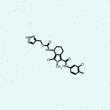 Cn1c(Cl)c2c(c1C(=O)Nc1ccc(F)c(Cl)c1)CCCC2NC(=O)OCc1cn[nH]n1